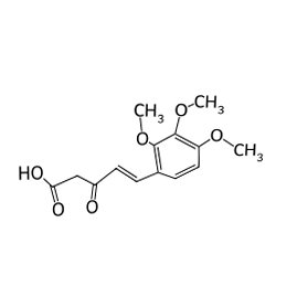 COc1ccc(C=CC(=O)CC(=O)O)c(OC)c1OC